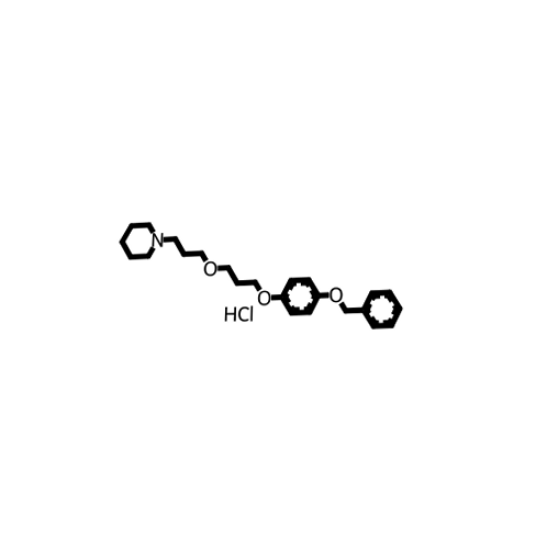 Cl.c1ccc(COc2ccc(OCCCOCCCN3CCCCC3)cc2)cc1